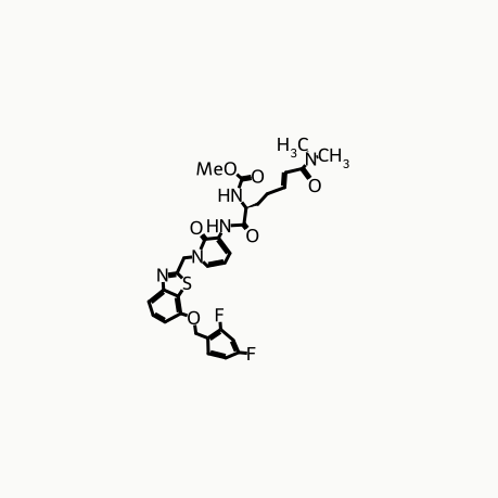 COC(=O)N[C@@H](CC/C=C/C(=O)N(C)C)C(=O)Nc1cccn(Cc2nc3cccc(OCc4ccc(F)cc4F)c3s2)c1=O